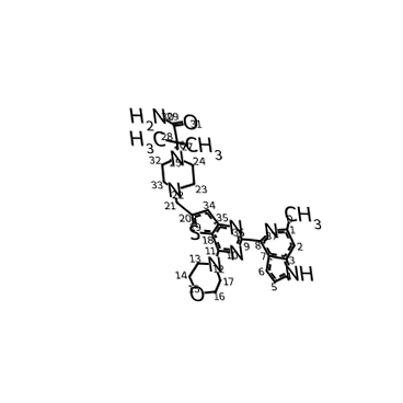 Cc1cc2[nH]ccc2c(-c2nc(N3CCOCC3)c3sc(CN4CCN(C(C)(C)C(N)=O)CC4)cc3n2)n1